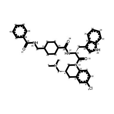 CN(C)C[C@H]1Cc2cc(Cl)ccc2N(C(=O)[C@@H](Cc2c[nH]c3ccccc23)NC(=O)C2CCC(CNC(=O)c3ccccc3)CC2)C1